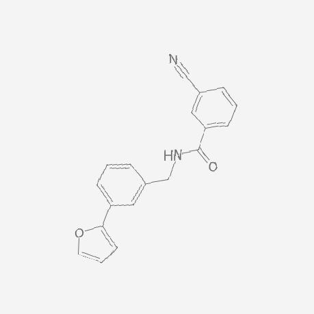 N#Cc1cccc(C(=O)NCc2cccc(-c3ccco3)c2)c1